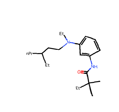 CCCC(CC)CCN(CC)c1cccc(NC(=O)C(C)(C)CC)c1